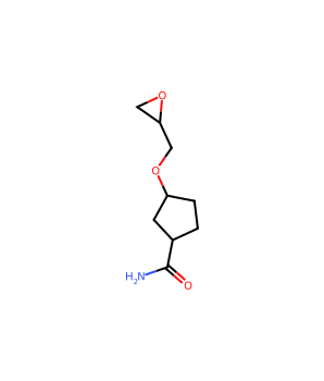 NC(=O)C1CCC(OCC2CO2)C1